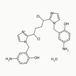 Nc1ccc(O)c(CN2C=C[N+]=C2C(Cl)CCC(Cl)C2=[N+]C=CN2Cc2cc(N)ccc2O)c1.O